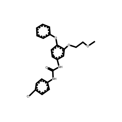 COCCOc1cc(NC(=O)Nc2ccc(Cl)cc2)ccc1Oc1ccccc1